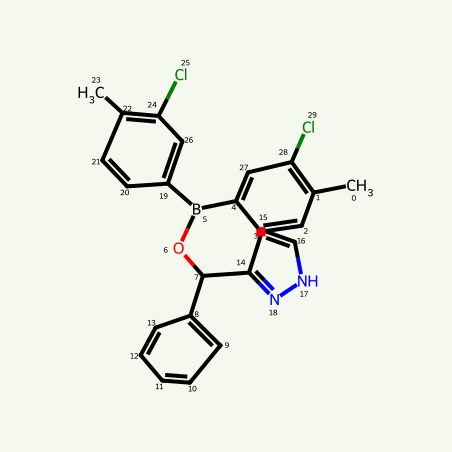 Cc1ccc(B(OC(c2ccccc2)c2cc[nH]n2)c2ccc(C)c(Cl)c2)cc1Cl